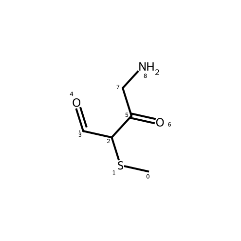 CSC([C]=O)C(=O)CN